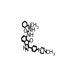 CN1CCN(c2ccc(C3=C4C(=O)c5c(NC(=O)NN(C)C6CCCCC6)cccc5C4N=N3)cc2)CC1